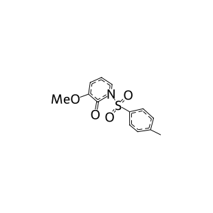 COc1cccn(S(=O)(=O)c2ccc(C)cc2)c1=O